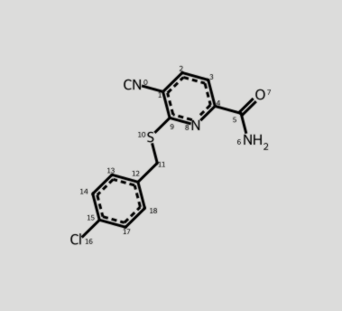 [C-]#[N+]c1ccc(C(N)=O)nc1SCc1ccc(Cl)cc1